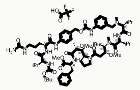 CC[C@H](C)[C@@H]([C@@H](CC(=O)N1CCC[C@H]1[C@H](OC)[C@@H](C)C(=O)N[C@@H](Cc1ccccc1)C(=O)OC)OC)N(C)C(=O)[C@@H](NC(=O)[C@H](C(C)C)N(C)Cc1cccc(NC(=O)OCc2ccc(NC(=O)[C@H](CCCNC(N)=O)NC(=O)[C@@H](NC(=O)OC(C)(C)C)C(C)C)cc2)c1)C(C)C.O=C(O)C(F)(F)F